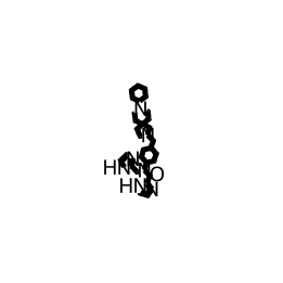 O=C(c1ncc[nH]1)N(Cc1ncc[nH]1)C1CCC(CN2CCC3(CCN(C4CCCCC4)CC3)C2)CC1